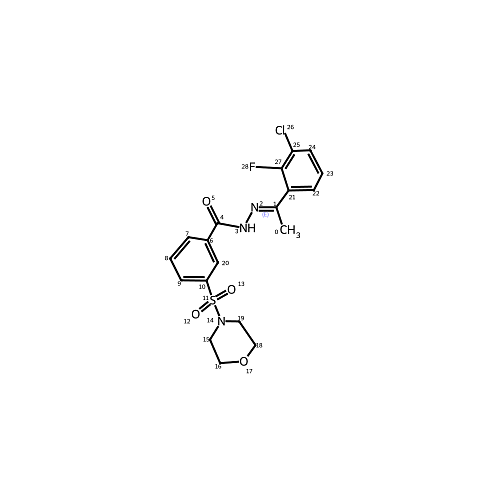 C/C(=N\NC(=O)c1cccc(S(=O)(=O)N2CCOCC2)c1)c1cccc(Cl)c1F